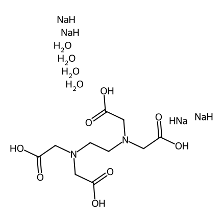 O.O.O.O.O=C(O)CN(CCN(CC(=O)O)CC(=O)O)CC(=O)O.[NaH].[NaH].[NaH].[NaH]